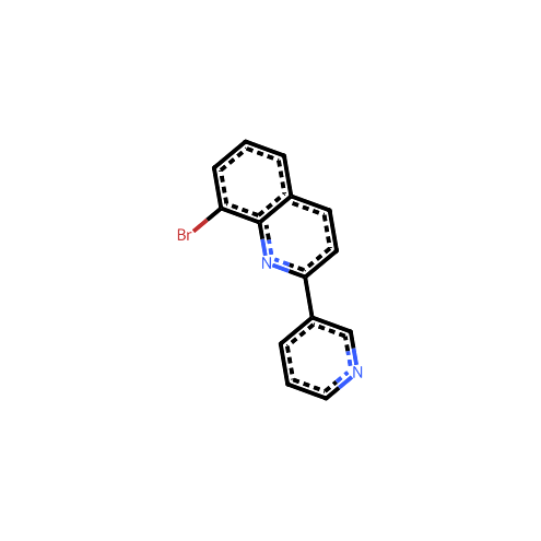 Brc1cccc2ccc(-c3cccnc3)nc12